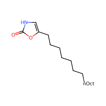 CCCCCCCCCCCCCCCc1c[nH]c(=O)o1